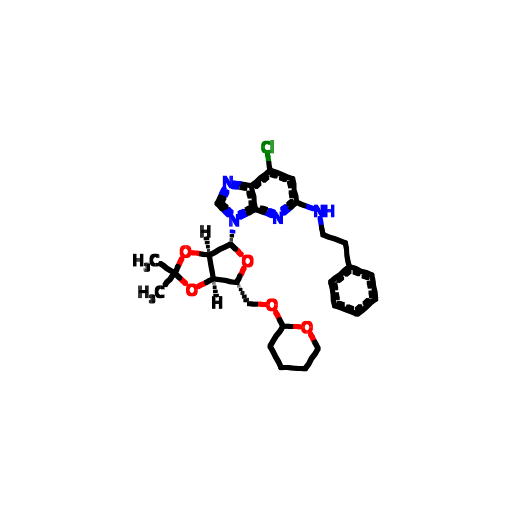 CC1(C)O[C@@H]2[C@H](O1)[C@@H](COC1CCCCO1)O[C@H]2n1cnc2c(Cl)cc(NCCc3ccccc3)nc21